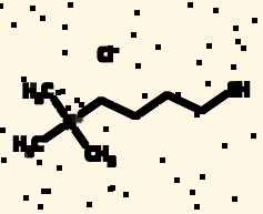 C[N+](C)(C)CCCCS.[Cl-]